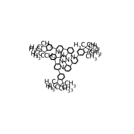 CC1(C)c2ccc(-c3ccc(-c4ccccc4-c4nc(-c5ccccc5-c5ccc(-c6ccc7c(c6)C(C)(C)C(C)(C)C7(C)C)nc5)nc(-c5ccccc5-c5ccc(-c6ccc7c(c6)C(C)(C)C(C)(C)C7(C)C)nc5)n4)cn3)cc2C(C)(C)C1(C)C